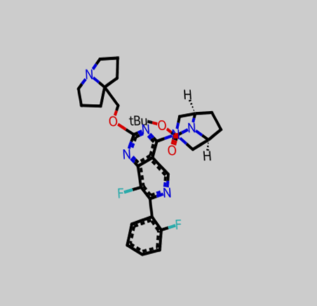 CC(C)(C)OC(=O)N1[C@@H]2CC[C@H]1CN(c1nc(OCC34CCCN3CCC4)nc3c(F)c(-c4ccccc4F)ncc13)C2